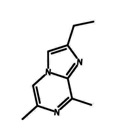 CCc1cn2cc(C)nc(C)c2n1